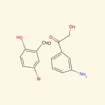 Nc1cccc(C(=O)CO)c1.O=Cc1cc(Br)ccc1O